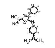 CN(C)c1ccc(N=C2SC(=C(C#N)C#N)N=C2c2ccccc2)cc1